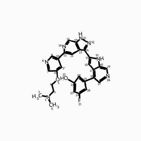 CN(C)CCOc1cncc(-c2cc3c(-c4cc5c(-c6cc(O)cc(F)c6)cncc5[nH]4)n[nH]c3cn2)c1